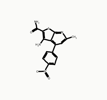 Cc1cc(-c2ccc([N+](=O)[O-])cc2)c2c(N)c(C(N)=O)sc2n1